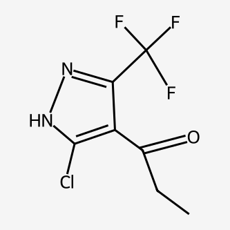 CCC(=O)c1c(C(F)(F)F)n[nH]c1Cl